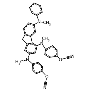 CN(c1ccccc1)c1ccc2c(c1)-c1c(cc(N(C)c3ccc(OC#N)cc3)cc1N(C)c1ccc(OC#N)cc1)C2